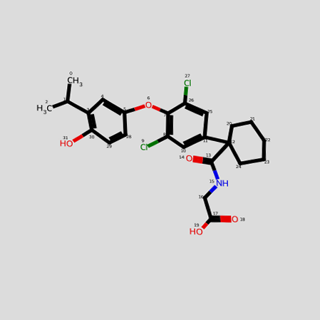 CC(C)c1cc(Oc2c(Cl)cc(C3(C(=O)NCC(=O)O)CCCCC3)cc2Cl)ccc1O